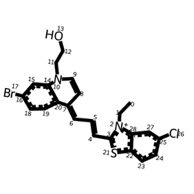 CC[n+]1c(/C=C/C=C2\C=CN(CCO)c3cc(Br)ccc32)sc2ccc(Cl)cc21